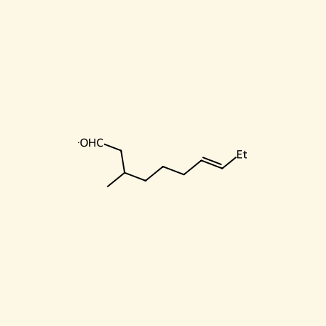 CCC=CCCCC(C)C[C]=O